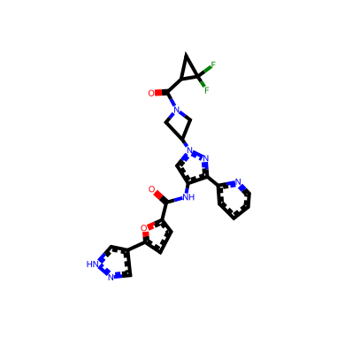 O=C(Nc1cn(C2CN(C(=O)C3CC3(F)F)C2)nc1-c1ccccn1)c1ccc(-c2cn[nH]c2)o1